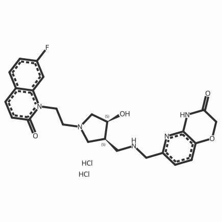 Cl.Cl.O=C1COc2ccc(CNC[C@H]3CN(CCn4c(=O)ccc5ccc(F)cc54)C[C@H]3O)nc2N1